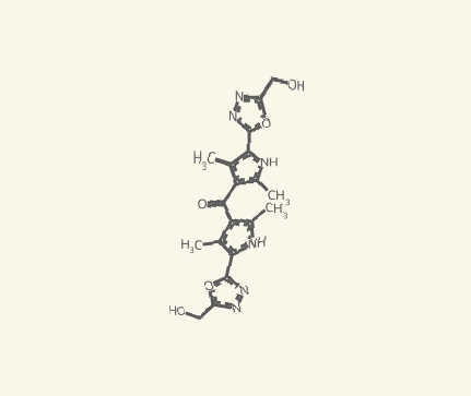 Cc1[nH]c(-c2nnc(CO)o2)c(C)c1C(=O)c1c(C)[nH]c(-c2nnc(CO)o2)c1C